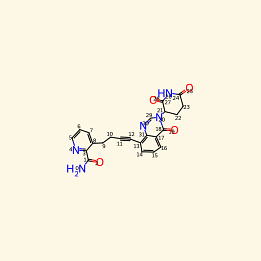 NC(=O)c1ncccc1CCC#Cc1cccc2c(=O)n(C3CCC(=O)NC3=O)cnc12